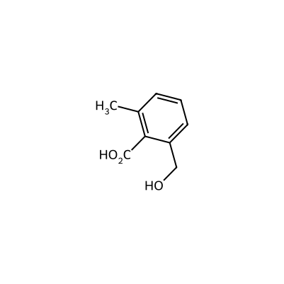 Cc1cccc(CO)c1C(=O)O